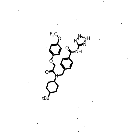 CC(C)(C)C1CCC(N(Cc2ccc(C(=O)Nc3nn[nH]n3)cc2)C(=O)COc2ccc(OC(F)(F)F)cc2)CC1